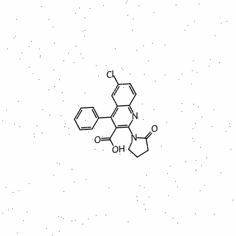 O=C(O)c1c(N2CCCC2=O)nc2ccc(Cl)cc2c1-c1ccccc1